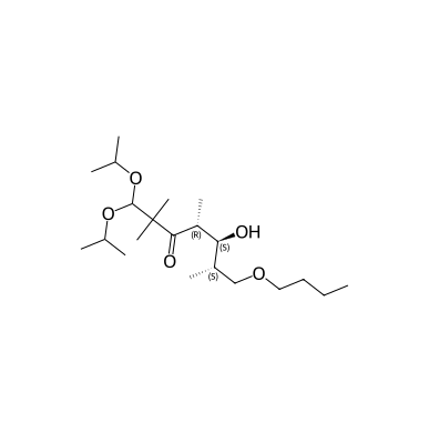 CCCCOC[C@H](C)[C@H](O)[C@@H](C)C(=O)C(C)(C)C(OC(C)C)OC(C)C